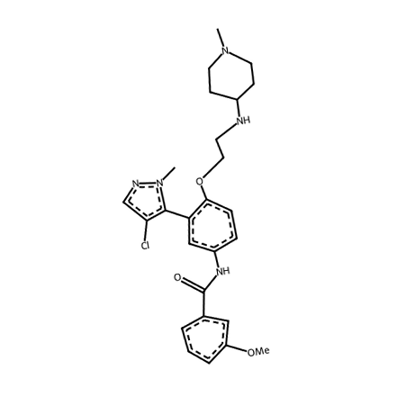 COc1cccc(C(=O)Nc2ccc(OCCNC3CCN(C)CC3)c(-c3c(Cl)cnn3C)c2)c1